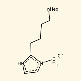 CCCCCCCCCCc1[nH]cc[n+]1C.[Cl-]